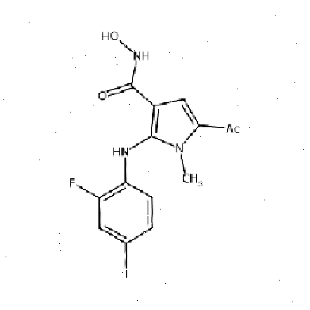 CC(=O)c1cc(C(=O)NO)c(Nc2ccc(I)cc2F)n1C